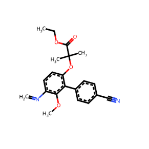 C=Nc1ccc(OC(C)(C)C(=O)OCC)c(-c2ccc(C#N)cc2)c1OC